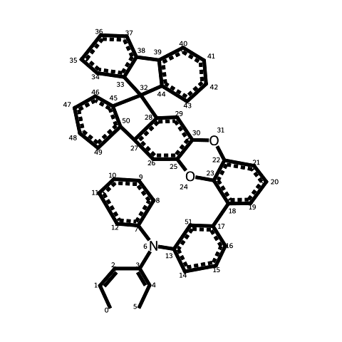 C/C=C\C(=C/C)N(c1ccccc1)c1cccc(-c2cccc3c2Oc2cc4c(cc2O3)C2(c3ccccc3-c3ccccc32)c2ccccc2-4)c1